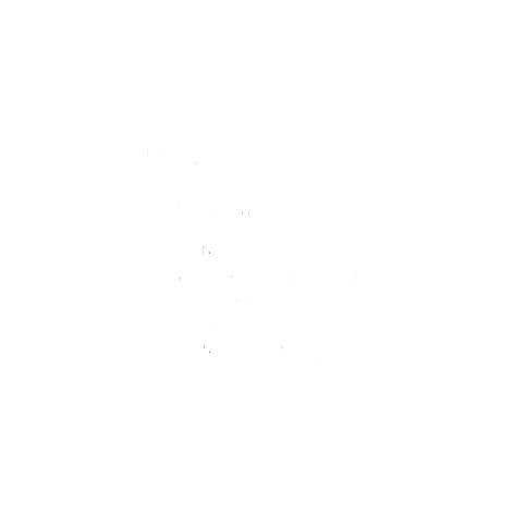 CC(C)c1nc(CCC(=O)O)n(Cc2cccnc2)c1Sc1cccc(F)c1